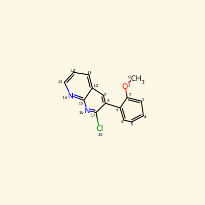 COc1ccccc1-c1cc2cccnc2nc1Cl